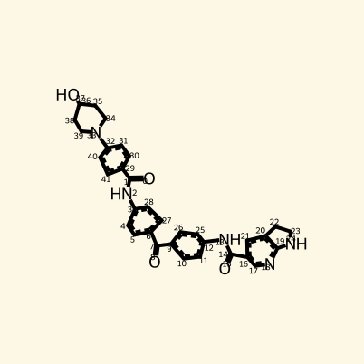 O=C(Nc1ccc(C(=O)c2ccc(NC(=O)c3cnc4c(c3)CCN4)cc2)cc1)c1ccc(N2CCC(O)CC2)cc1